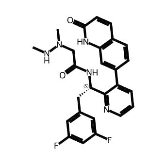 CNN(C)CC(=O)N[C@@H](Cc1cc(F)cc(F)c1)c1ncccc1-c1ccc2ccc(=O)[nH]c2c1